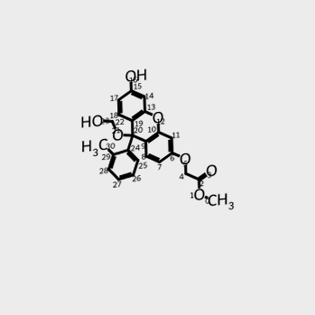 COC(=O)COc1ccc2c(c1)Oc1cc(O)ccc1C2(OCO)c1ccccc1C